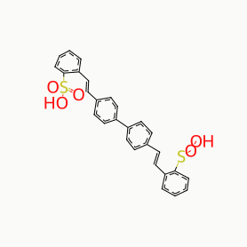 O=S(=O)(O)c1ccccc1C=Cc1ccc(-c2ccc(C=Cc3ccccc3SOO)cc2)cc1